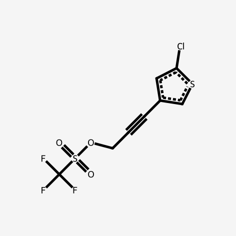 O=S(=O)(OCC#Cc1csc(Cl)c1)C(F)(F)F